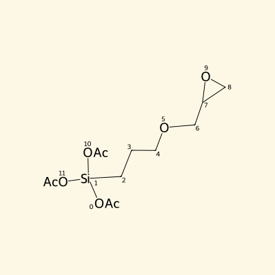 CC(=O)O[Si](CCCOCC1CO1)(OC(C)=O)OC(C)=O